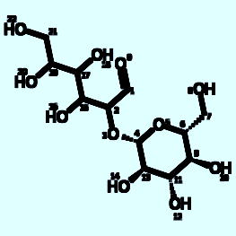 O=CC(O[C@@H]1O[C@H](CO)[C@@H](O)[C@H](O)[C@H]1O)C(O)C(O)C(O)CO